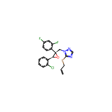 C=CCSc1ncnn1C[C@@]1(c2ccc(F)cc2F)O[C@H]1c1ccccc1Cl